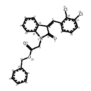 O=C(CN1C(=O)C(=Cc2cccc(Cl)c2Cl)c2ccccc21)OCc1ccccc1